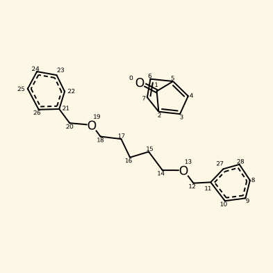 O=C1C2=CC=C1C=C2.c1ccc(COCCCCCOCc2ccccc2)cc1